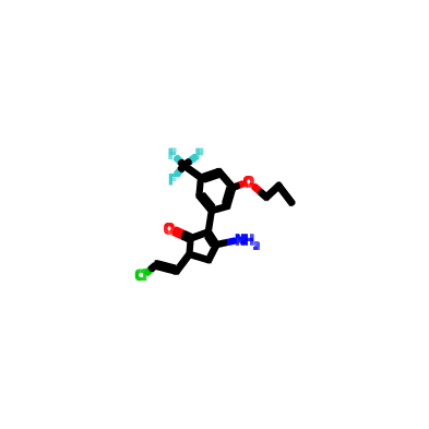 CCCOc1cc(C2=C(N)CC(C=CCl)C2=O)cc(C(F)(F)F)c1